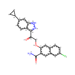 NC(=O)c1cc2cc(Cl)ccc2cc1OCC(=O)c1n[nH]c2cc(C3CC3)ccc12